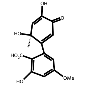 COc1cc(O)c(C(=O)O)c(C2=CC(=O)C(O)=C[C@]2(C)O)c1